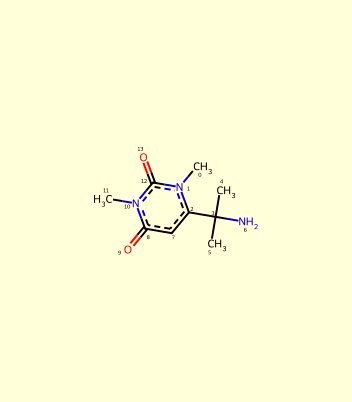 Cn1c(C(C)(C)N)cc(=O)n(C)c1=O